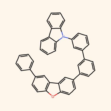 c1ccc(-c2ccc3oc4ccc(-c5cccc(-c6cccc(-n7c8ccccc8c8ccccc87)c6)c5)cc4c3c2)cc1